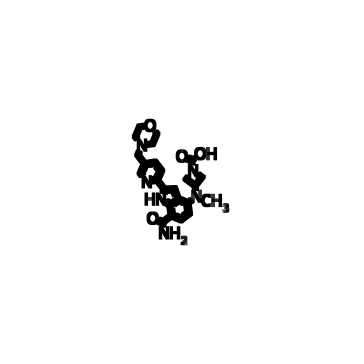 CN(c1ccc(C(N)=O)c2[nH]c(-c3ccc(CN4CCOCC4)cn3)cc12)C1CN(C(=O)O)C1